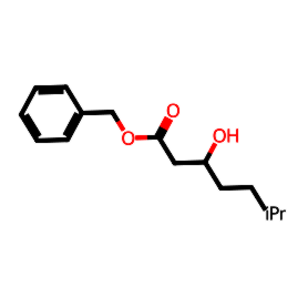 CC(C)CCC(O)CC(=O)OCc1ccccc1